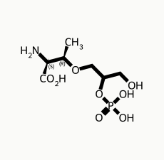 C[C@@H](OCC(CO)OP(=O)(O)O)[C@H](N)C(=O)O